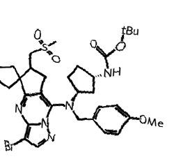 COc1ccc(CN(c2c3c(nc4c(Br)cnn24)C2(CCCC2)C(CS(C)(=O)=O)C3)[C@H]2CC[C@H](NC(=O)OC(C)(C)C)C2)cc1